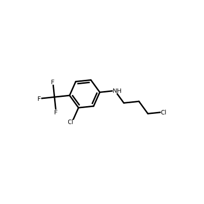 FC(F)(F)c1ccc(NCCCCl)cc1Cl